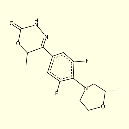 CC1OC(=O)NN=C1c1cc(F)c(N2CCO[C@@H](C)C2)c(F)c1